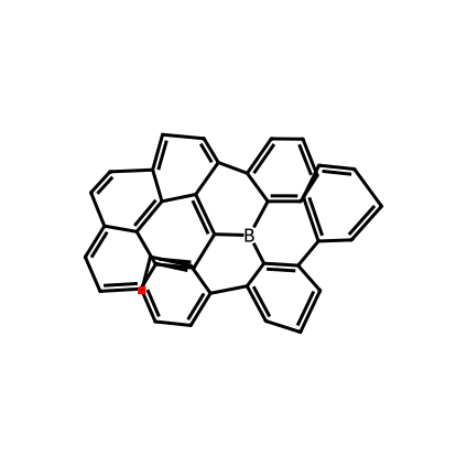 c1ccc(-c2cccc(-c3ccccc3)c2B2c3ccccc3-c3ccc4ccc5cccc6cc2c3c4c56)cc1